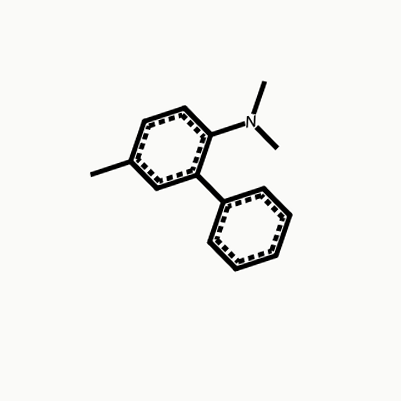 Cc1ccc(N(C)C)c(-c2ccccc2)c1